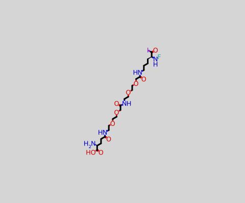 N[C@@H](CCC(=O)NCCOCCOCC(=O)NCCOCCOCC(=O)NCCCC[C@H](NF)C(=O)I)C(=O)O